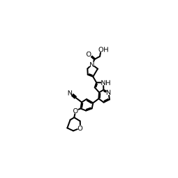 N#Cc1cc(-c2ccnc3[nH]c(C4=CCN(C(=O)CO)C4)cc23)ccc1OC1CCCOC1